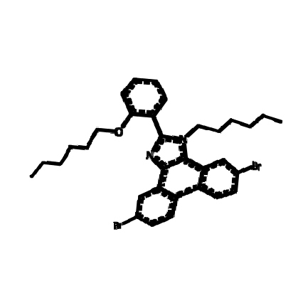 CCCCCCOc1ccccc1-c1nc2c3cc(Br)ccc3c3ccc(Br)cc3c2n1CCCCCC